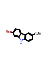 CC(C)(C)c1ccc2[nH]c3cc(Br)ccc3c2c1